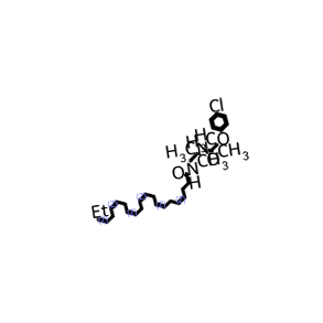 CC/C=C\C/C=C\C/C=C\C/C=C\C/C=C\C/C=C\CCC(=O)NCC(C)(C)NC(=O)C(C)(C)Oc1ccc(Cl)cc1